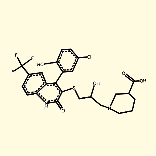 O=C(O)C1CCCN(CC(O)CSc2c(-c3cc(Cl)ccc3O)c3cc(C(F)(F)F)ccc3[nH]c2=O)C1